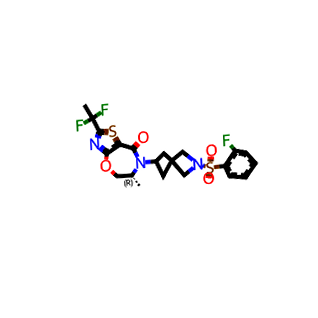 C[C@@H]1COc2nc(C(C)(F)F)sc2C(=O)N1C1CC2(C1)CN(S(=O)(=O)c1ccccc1F)C2